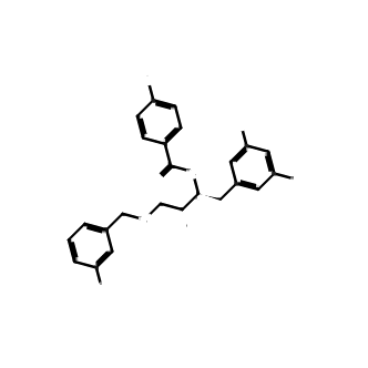 CCc1cccc(CNC[C@@H](O)[C@H](Cc2cc(F)cc(F)c2)NC(=O)c2ccc(C(C)=O)cc2)c1